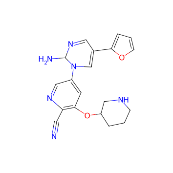 N#Cc1ncc(N2C=C(c3ccco3)C=NC2N)cc1OC1CCCNC1